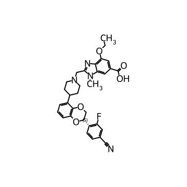 CCOc1cc(C(=O)O)cc2c1nc(CN1CCC(c3cccc4c3OC[C@H](c3ccc(C#N)cc3F)O4)CC1)n2C